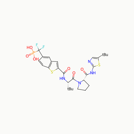 CC(C)(C)c1cnc(NC(=O)[C@@H]2CCCN2C(=O)[C@@H](NC(=O)c2cc3cc(C(F)(F)P(=O)(O)O)ccc3s2)C(C)(C)C)s1